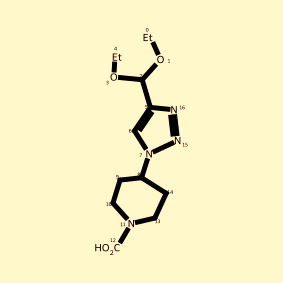 CCOC(OCC)c1cn(C2CCN(C(=O)O)CC2)nn1